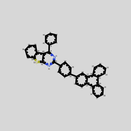 c1ccc(-c2nc(-c3ccc(-c4ccc5c6ccccc6c6ccccc6c5c4)cc3)nc3sc4ccccc4c23)cc1